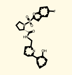 O=C(NCc1cccc(-c2ccccc2O)n1)[C@@H]1CCCN1S(=O)(=O)c1cc2cc(F)ccc2o1